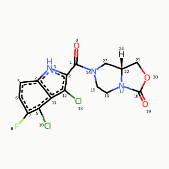 O=C(c1[nH]c2ccc(F)c(Cl)c2c1Cl)N1CCN2C(=O)OC[C@H]2C1